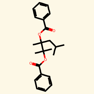 CC(C)CC(C)(OC(=O)c1ccccc1)C(C)(C)OC(=O)c1ccccc1